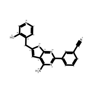 N#Cc1cccc(-c2nc(N)c3cc(Cc4ccncc4O)sc3n2)c1